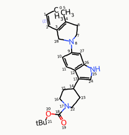 C/C=C\C1=C(C)CCN(c2ccc3c(C4CCN(C(=O)OC(C)(C)C)CC4)c[nH]c3c2)C1